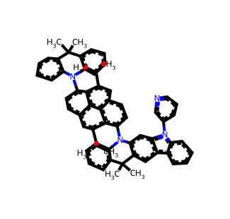 CC(C)c1cc2ccc(N3c4ccccc4C(C)(C)c4cc5c6ccccc6n(-c6cccnc6)c5cc43)c3c(C(C)C)cc4ccc(N5c6ccccc6C(C)(C)c6ccccc65)c1c4c23